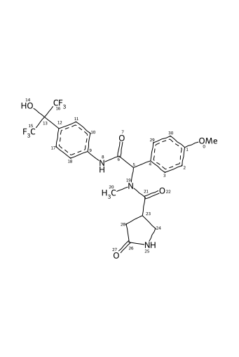 COc1ccc(C(C(=O)Nc2ccc(C(O)(C(F)(F)F)C(F)(F)F)cc2)N(C)C(=O)C2CNC(=O)C2)cc1